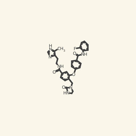 Cc1[nH]cnc1CCNC(=O)c1ccc(CN2CCNC2=O)c(Oc2ccc(C(=O)Nc3ccccc3F)cc2)c1